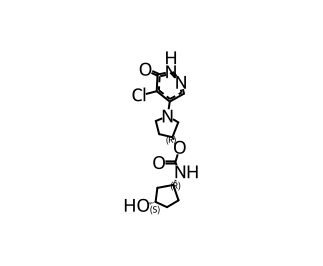 O=C(N[C@@H]1CC[C@H](O)C1)O[C@@H]1CCN(c2cn[nH]c(=O)c2Cl)C1